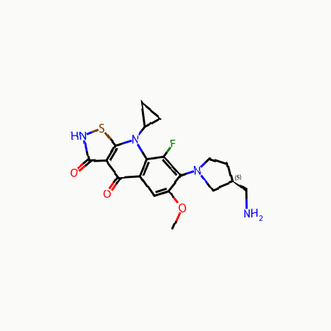 COc1cc2c(=O)c3c(=O)[nH]sc3n(C3CC3)c2c(F)c1N1CC[C@@H](CN)C1